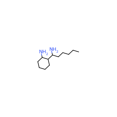 CCCCCC(N)C1CCCCC1N